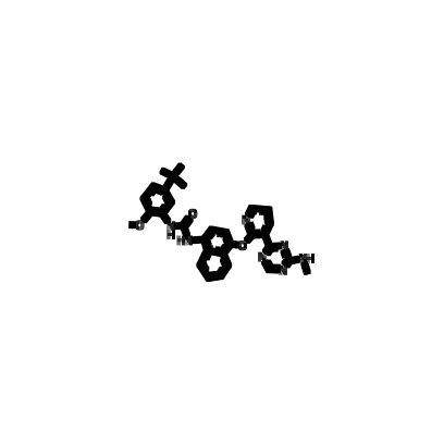 CNc1ncnc(-c2cccnc2Oc2ccc(NC(=O)Nc3cc(C(C)(C)C)ccc3OC)c3ccccc23)n1